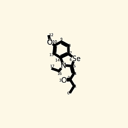 CCC(=O)C=C1[Se]c2ccc(OC)cc2N1CC